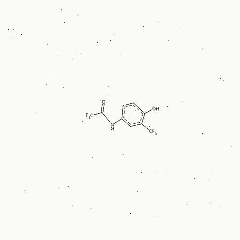 O=C(Nc1ccc(O)c(C(F)(F)F)c1)C(F)(F)F